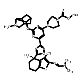 CN(C)/C=N/c1sc2c(c1C#N)[C@@](C)(c1nc(-c3cc(N4CCN(C(=O)OC(C)(C)C)CC4)nc(OC4C5CC6CN(C)C4C6C5)n3)no1)CCC2